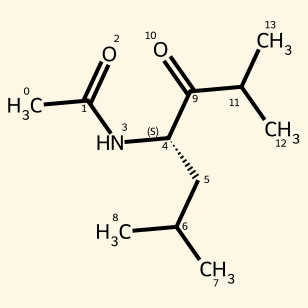 CC(=O)N[C@@H](CC(C)C)C(=O)C(C)C